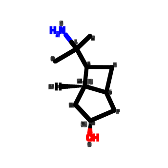 CC(C)(N)C1CC2C[C@H](O)C[C@H]21